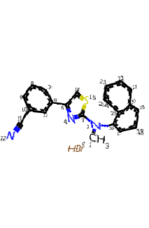 Br.CN(c1nc(-c2cccc(C#N)c2)cs1)c1cccc2ccccc12